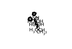 CC(C)(C)OC[C@@H](O)[C@@H](O)[C@H](O)[C@@H](O)C(=O)[SiH](c1ccccc1)c1ccccc1